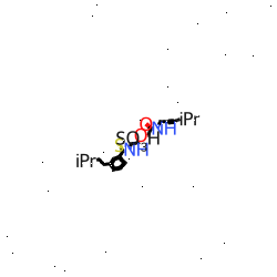 CC(C)C#CCNC(=O)COCCNC(SS(=O)(=O)O)c1cccc(CCC(C)C)c1